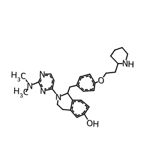 CN(C)c1nccc(N2CCc3cc(O)ccc3C2Cc2ccc(OCCC3CCCCN3)cc2)n1